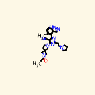 C=CC(=O)N1CC2(CCN(c3nc(CCN4CCCC4)nc(-c4c(C)ccc5[nH]ncc45)c3C#N)C2)C1